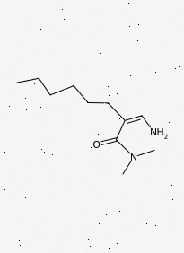 CCCCCCC(=CN)C(=O)N(C)C